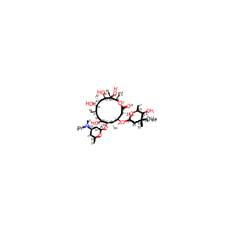 CC[C@H]1OC(=O)[C@H](C)[C@@H](OC2CC(C)(OC)C(O)C(C)O2)[C@H](C)[C@@H](OC2CC(N(C)C(C)C)CC(C)O2)[C@@](C)(O)C[C@@H](C)[C@H](O)[C@H](C)[C@@H](O)[C@]1(C)O